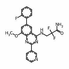 COc1cc(-c2ccccc2F)cc2c(NCC(F)(F)C(N)=O)nc(-c3cccnc3)nc12